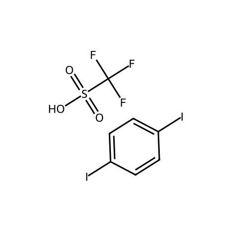 Ic1ccc(I)cc1.O=S(=O)(O)C(F)(F)F